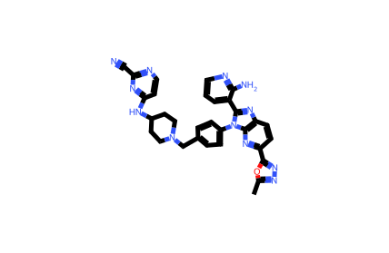 Cc1nnc(-c2ccc3nc(-c4cccnc4N)n(-c4ccc(CN5CCC(Nc6ccnc(C#N)n6)CC5)cc4)c3n2)o1